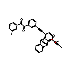 CC#Cc1ccc(C#Cc2cccc(C(=O)C(=O)c3cccc(C)c3)c2)c2c1C1C(C(=O)OC)=C(C)C2c2ccccc21